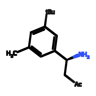 CC(=O)C[C@H](N)c1cc(C)cc(C(C)(C)C)c1